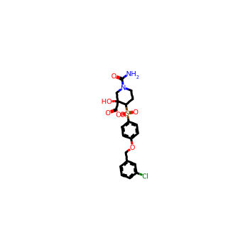 NC(=O)N1CCC(S(=O)(=O)c2ccc(OCc3cccc(Cl)c3)cc2)C(O)(C(=O)O)C1